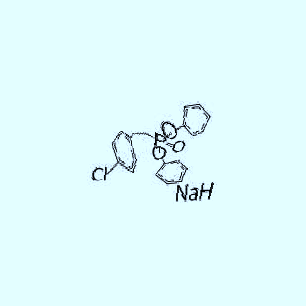 O=P(Cc1ccc(Cl)cc1)(Oc1ccccc1)Oc1ccccc1.[NaH]